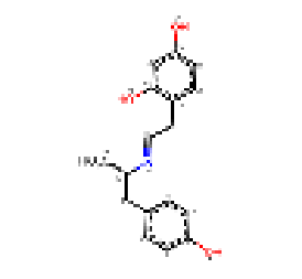 O=C(O)[C@H](Cc1ccc(O)cc1)N=CCc1ccc(O)cc1O